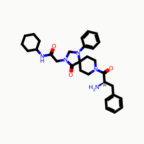 N[C@H](Cc1ccccc1)C(=O)N1CCC2(CC1)C(=O)N(CC(=O)NC1CCCCC1)CN2c1ccccc1